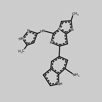 Cc1cn2c(Nc3cc(C)[nH]n3)nc(-c3cc(N)c4[nH]ccc4c3)cc2n1